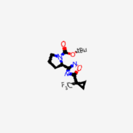 CC(C)(C)OC(=O)N1CCCC1c1noc(C2(C(F)(F)F)CC2)n1